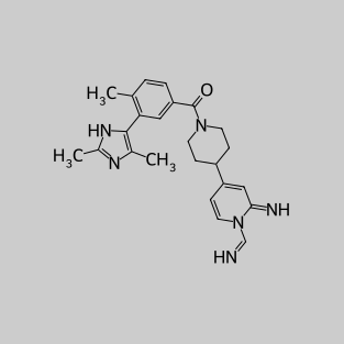 Cc1nc(C)c(-c2cc(C(=O)N3CCC(c4ccn(C=N)c(=N)c4)CC3)ccc2C)[nH]1